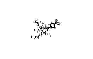 CCCCOC(C)OC(C)(OC(=O)c1ccc(C(=O)O)cc1)OC(C)OCCCC